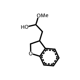 COC(O)CC1COc2ccccc21